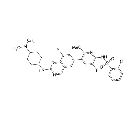 COc1nc(NS(=O)(=O)c2ccccc2Cl)c(F)cc1-c1cc(F)c2nc(NC3CCC(N(C)C)CC3)ncc2c1